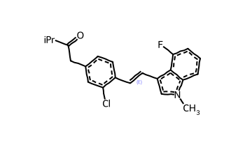 CC(C)C(=O)Cc1ccc(/C=C/c2cn(C)c3cccc(F)c23)c(Cl)c1